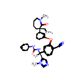 CCC1(c2cccc(Oc3cc(C(C)(NC(=O)Nc4ccccc4)c4cncn4C)ccc3C#N)c2)CCCCN(C)C1=O